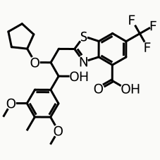 COc1cc(C(O)C(Cc2nc3c(C(=O)O)cc(C(F)(F)F)cc3s2)OC2CCCC2)cc(OC)c1C